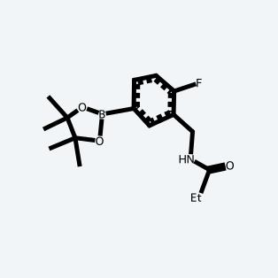 CCC(=O)NCc1cc(B2OC(C)(C)C(C)(C)O2)ccc1F